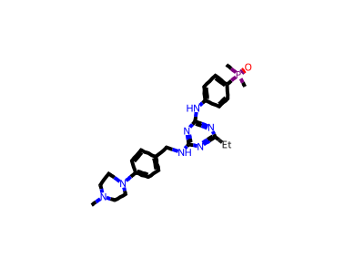 CCc1nc(NCc2ccc(N3CCN(C)CC3)cc2)nc(Nc2ccc(P(C)(C)=O)cc2)n1